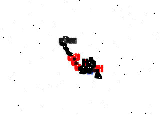 C=C1CC[C@@]2(O)C3Cc4ccc(OCOC(=O)OCCCCCCCCCCCCCCCC)c5c4[C@@]2(CCN3CC2CC2)[C@H]1O5